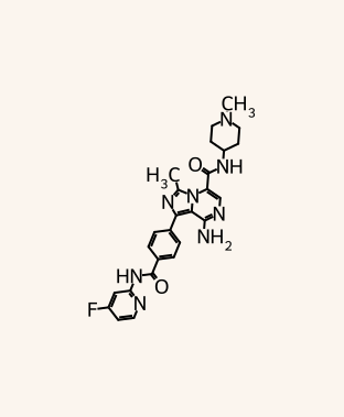 Cc1nc(-c2ccc(C(=O)Nc3cc(F)ccn3)cc2)c2c(N)ncc(C(=O)NC3CCN(C)CC3)n12